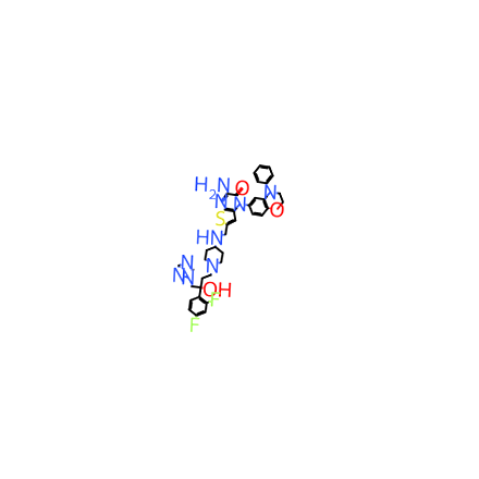 Nc1nc2sc(CNC3CCN(CCC(O)(Cn4cncn4)c4ccc(F)cc4F)CC3)cc2n(-c2ccc3c(c2)N(c2ccccc2)CCO3)c1=O